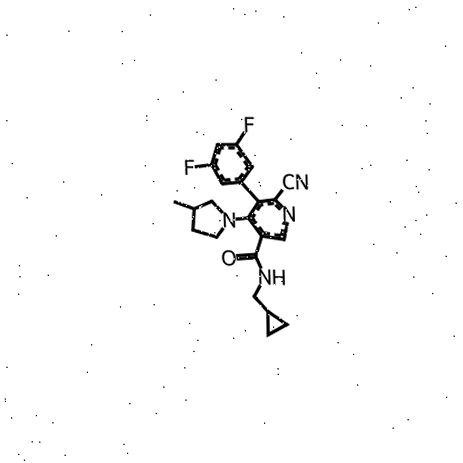 CC1CCN(c2c(C(=O)NCC3CC3)cnc(C#N)c2-c2cc(F)cc(F)c2)C1